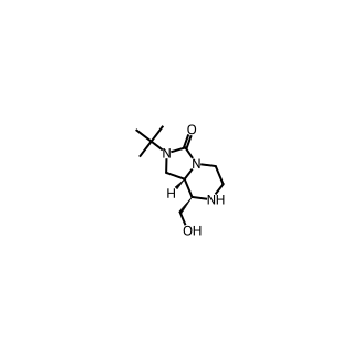 CC(C)(C)N1C[C@H]2[C@H](CO)NCCN2C1=O